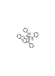 O=C([O][Ti]([O]C(=O)c1ccccc1)([O]C(=O)c1ccccc1)[c]1cccc2c1Cc1ccccc1-2)c1ccccc1